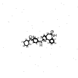 CN(c1ccc(Nc2ncc3c(n2)-c2ccccc2NC(=O)C3)cc1)C1CCCCC1